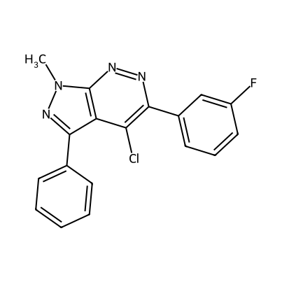 Cn1nc(-c2ccccc2)c2c(Cl)c(-c3cccc(F)c3)nnc21